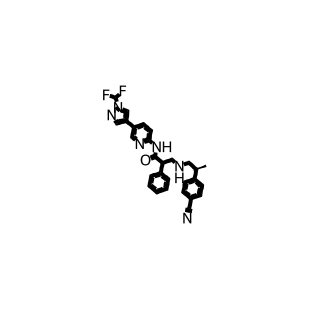 C[C@H](CNCC(C(=O)Nc1ccc(-c2cnn(C(F)F)c2)cn1)c1ccccc1)c1ccc(C#N)cc1